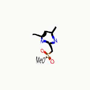 COS(=O)(=O)Cc1nc(C)cc(C)n1